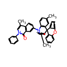 Cc1ccc2c(c1)C1(c3ccccc3Oc3ccccc31)c1cc(C)ccc1N2c1ccc2c(C)cn(-c3ccccc3)c(=O)c2c1